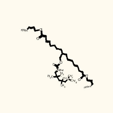 CCCCCC/C=C\COC(=O)CCCCCCCC(CCCCCCCC(=O)OC/C=C\CCCCCC)COC(=O)NCC(C)(C)CC(C)(C)CN(C)C